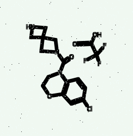 O=C(N1CC2(CNC2)C1)N1CCOc2cc(Cl)ccc21.O=C(O)C(F)(F)F